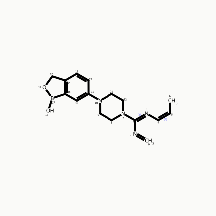 C=N/C(=N\C=C/C)N1CCN(c2ccc3c(c2)B(O)OC3)CC1